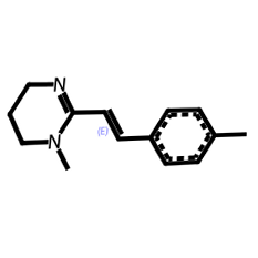 Cc1ccc(/C=C/C2=NCCCN2C)cc1